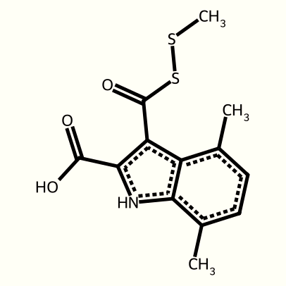 CSSC(=O)c1c(C(=O)O)[nH]c2c(C)ccc(C)c12